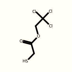 O=C(CS)OCC(Cl)(Cl)Cl